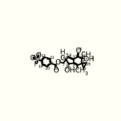 CC1=C2C(=C[C@@](C)(COC(=O)c3ccc(S(=O)(=O)F)cc3)[C@@H]2O)C(=O)[C@](C)(O)C12CC2